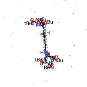 CC(C)(C)OC(=O)CCC(NC(=O)NC(CCCCNC(=O)CCCCCCCCCCCNC(=O)CN1CCN(CC(=O)OC(C)(C)C)CCN(CC(=O)OC(C)(C)C)CCN(CC(=O)OC(C)(C)C)CC1)C(=O)OC(C)(C)C)C(=O)OC(C)(C)C